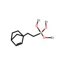 CCO[Si](CCC12C=CC(CC1)C2)(OCC)OCC